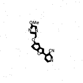 COc1cnc(COc2ccc3oc(-c4ccncc4C#N)cc3c2)cn1